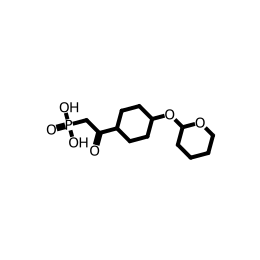 O=C(CP(=O)(O)O)C1CCC(OC2CCCCO2)CC1